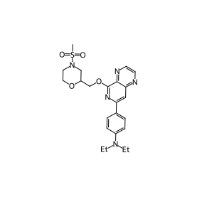 CCN(CC)c1ccc(-c2cc3nccnc3c(OCC3CN(S(C)(=O)=O)CCO3)n2)cc1